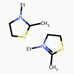 CCN1CCSC1C.CC[N+]1=C(C)SCC1